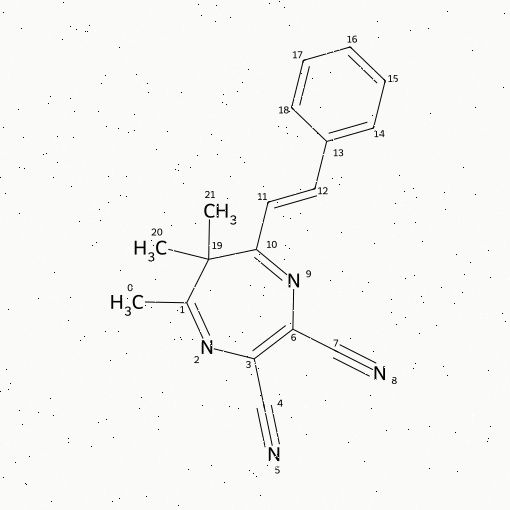 CC1=NC(C#N)=C(C#N)N=C(C=Cc2ccccc2)C1(C)C